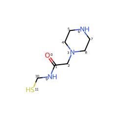 O=C(CN1CCNCC1)NCS